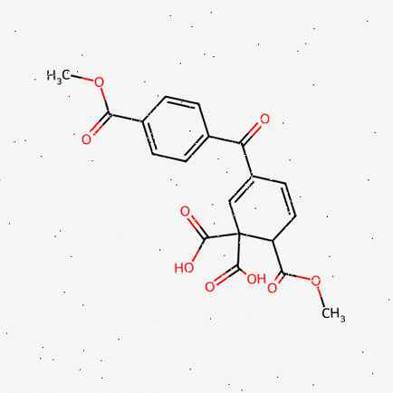 COC(=O)c1ccc(C(=O)C2=CC(C(=O)O)(C(=O)O)C(C(=O)OC)C=C2)cc1